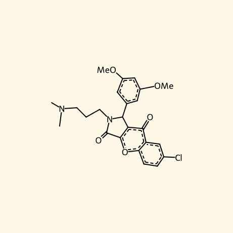 COc1cc(OC)cc(C2c3c(oc4ccc(Cl)cc4c3=O)C(=O)N2CCCN(C)C)c1